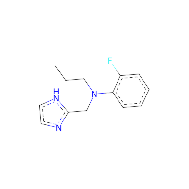 CCCN(Cc1ncc[nH]1)c1ccccc1F